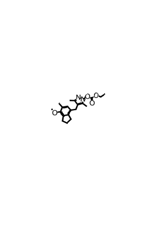 CCOC(=O)On1nc(C)c(Cc2cc(C)c(OC)c3c2CCC3)c1C